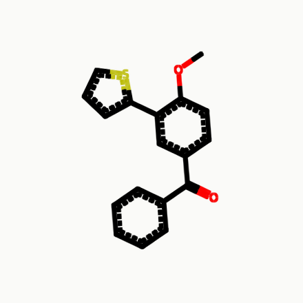 COc1ccc(C(=O)c2ccccc2)cc1-c1cccs1